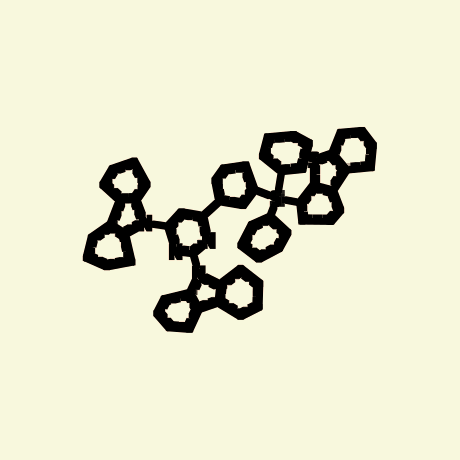 c1ccc([Si](c2ccccc2)(c2cccc(-c3cc(-n4c5ccccc5c5ccccc54)nc(-n4c5ccccc5c5ccccc54)n3)c2)c2cccc3c2sc2ccccc23)cc1